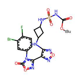 CC(C)(C)OC(=O)NS(=O)(=O)NC1CC(Nc2nonc2-c2noc(=O)n2-c2ccc(F)c(Br)c2)C1